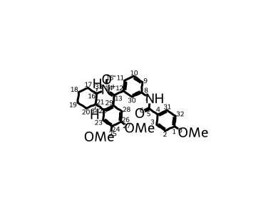 COc1ccc(C(=O)Nc2cccc(C3=[N+]([O-])[C@@H]4CCCC[C@@H]4c4cc(OC)c(OC)cc43)c2)cc1